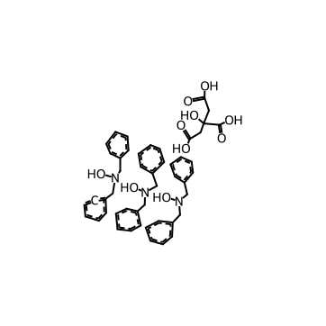 O=C(O)CC(O)(CC(=O)O)C(=O)O.ON(Cc1ccccc1)Cc1ccccc1.ON(Cc1ccccc1)Cc1ccccc1.ON(Cc1ccccc1)Cc1ccccc1